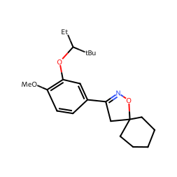 [CH2]CC(Oc1cc(C2=NOC3(CCCCC3)C2)ccc1OC)C(C)(C)C